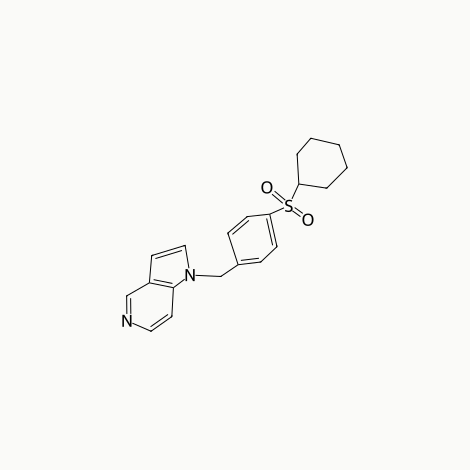 O=S(=O)(c1ccc(Cn2ccc3cnccc32)cc1)C1CCCCC1